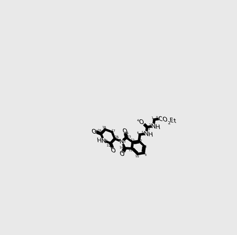 CCOC(=O)CNC(=O)NCc1cccc2c1C(=O)N(C1CCC(=O)NC1=O)C2=O